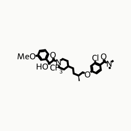 COc1cccc([C@](O)(C(=O)N2CCC(CC[C@H](C)COc3ccc(C(=O)N(C)C)c(Cl)c3)CC2)C(F)(F)F)c1